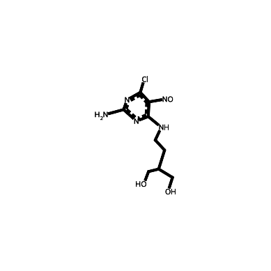 Nc1nc(Cl)c(N=O)c(NCCC(CO)CO)n1